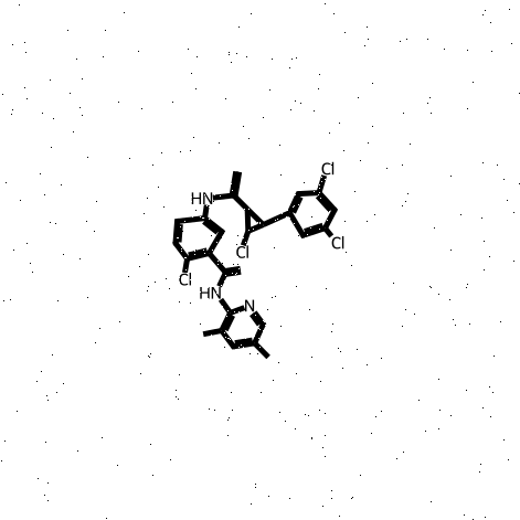 C=C(Nc1ncc(C)cc1C)c1cc(NC(=C)C2C(Cl)C2c2cc(Cl)cc(Cl)c2)ccc1Cl